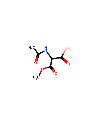 BC(=O)C(NC(C)=O)C(=O)OC